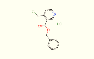 Cl.O=C(OCc1ccccc1)c1cnccc1CCl